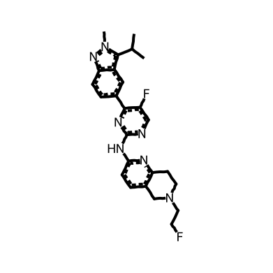 CC(C)c1c2cc(-c3nc(Nc4ccc5c(n4)CCN(CCF)C5)ncc3F)ccc2nn1C